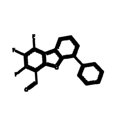 O=Cc1c(F)c(F)c(F)c2c1oc1c(-c3ccccc3)cccc12